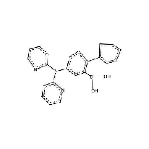 OB(O)c1cc(N(c2ccccn2)c2ccccn2)ccc1-c1ccccc1